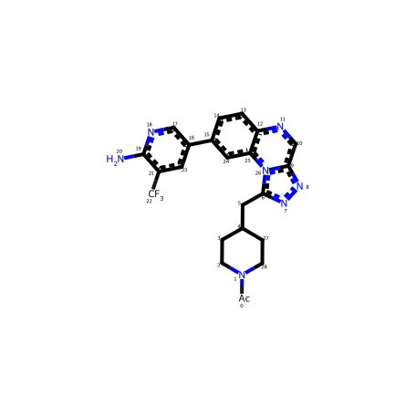 CC(=O)N1CCC(Cc2nnc3cnc4ccc(-c5cnc(N)c(C(F)(F)F)c5)cc4n23)CC1